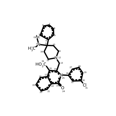 CC(=O)N(C)C1(c2ccccc2)CCN(Cc2c(C(=O)O)c3ccccc3c(=O)n2-c2cccc(Cl)c2)CC1